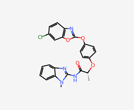 C[C@@H](Oc1ccc(Oc2nc3ccc(Cl)cc3o2)cc1)C(=O)Nc1nc2ccccc2n1C